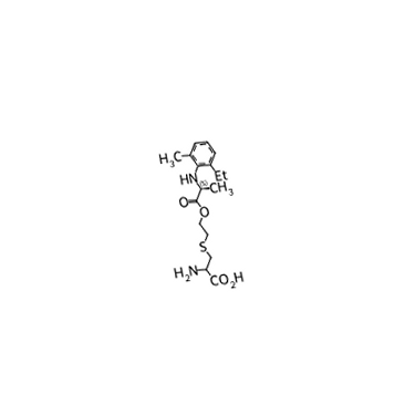 CCc1cccc(C)c1N[C@@H](C)C(=O)OCCSCC(N)C(=O)O